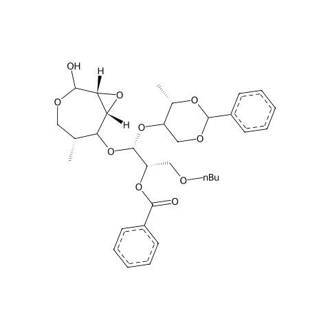 CCCCOC[C@H](OC(=O)c1ccccc1)[C@@H](OC1COC(c2ccccc2)O[C@H]1C)OC1[C@H](C)COC(O)[C@@H]2O[C@H]12